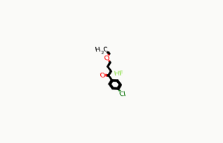 C=COCCCC(=O)c1ccc(Cl)cc1.F